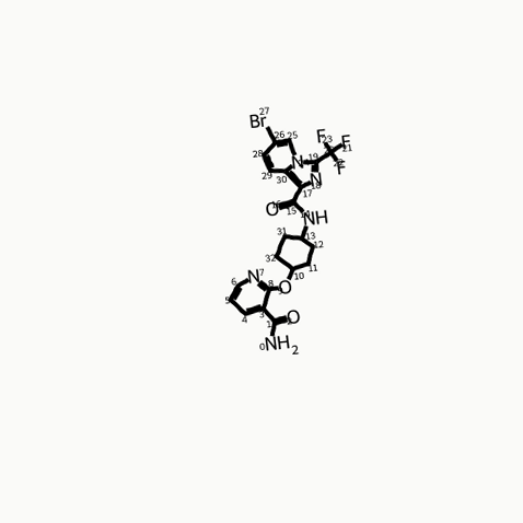 NC(=O)c1cccnc1OC1CCC(NC(=O)c2nc(C(F)(F)F)n3cc(Br)ccc23)CC1